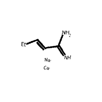 CCC=CC(=N)N.[Ca].[Na]